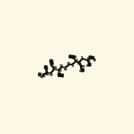 CC(=O)CC(=C=O)C(O)CCCCC(O)C(=C=O)CC(C)=O